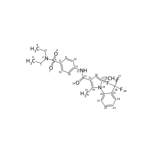 CCN(CC)S(=O)(=O)c1ccc(NC(=O)c2cc(C)n(-c3ccccc3C(F)(F)F)c2C)cc1